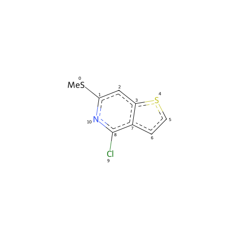 CSc1cc2sccc2c(Cl)n1